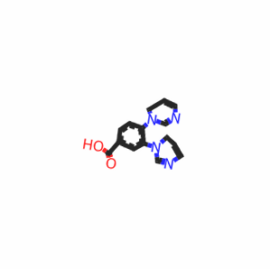 O=C(O)c1ccc(N2C=NC=CC2)c(N2C=NC=CC2)c1